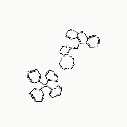 c1ccc([B-](c2ccccc2)(c2ccccc2)c2ccccc2)cc1.c1ccc2c(C[N+]3=C4CCCCCN4CCC3)c3ccccc3cc2c1